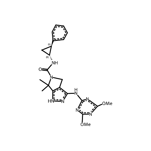 COc1nc(Nc2n[nH]c3c2CN(C(=O)N[C@@H]2C[C@H]2c2ccccc2)C3(C)C)nc(OC)n1